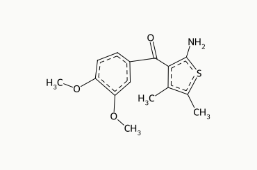 COc1ccc(C(=O)c2c(N)sc(C)c2C)cc1OC